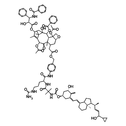 C=C1/C(=C\C=C2/CCC[C@@]3(C)C2CCC3[C@@H](C)/C=C/C(O)C2CC2)C[C@@H](OC(=O)NC(C)(C)C(=O)NC(CCCNC(N)=O)C(=O)Nc2ccc(COC(=O)CC3CC4OCC4(OC(C)=O)C4C(OC(=O)c5ccccc5)C5(O)CC(OC(=O)C(O)C(NC(=O)c6ccccc6)c6ccccc6)C(C)=C(C(OC(C)=O)C(=O)C34C)C5(C)C)cc2)C[C@@H]1O